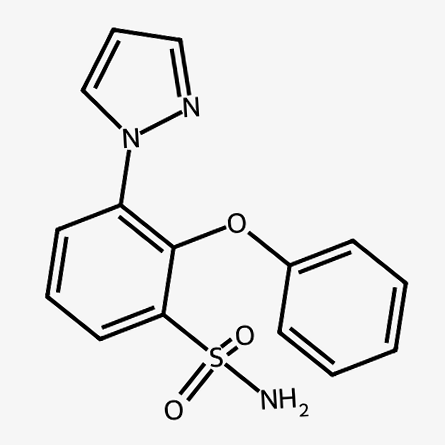 NS(=O)(=O)c1cccc(-n2cccn2)c1Oc1ccccc1